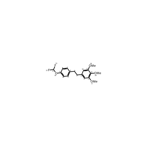 COc1cc(CCc2ccc(OC(F)F)cc2)cc(OC)c1OC